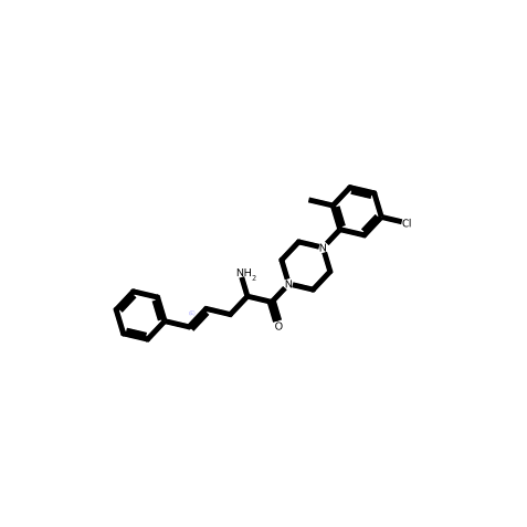 Cc1ccc(Cl)cc1N1CCN(C(=O)C(N)C/C=C/c2ccccc2)CC1